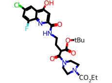 CCOC(=O)N1CCN(C(=O)C(CCNC(=O)c2cc(O)c3cc(Cl)cc(F)c3n2)C(=O)OC(C)(C)C)CC1